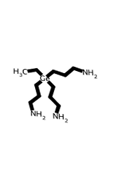 C[CH2][Ge]([CH2]CCN)([CH2]CCN)[CH2]CCN